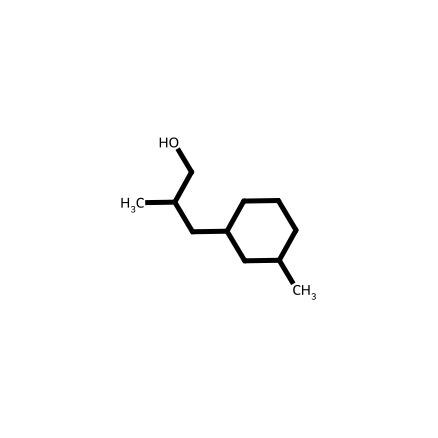 CC(CO)CC1CCCC(C)C1